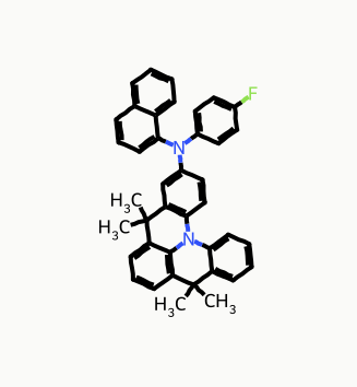 CC1(C)c2ccccc2N2c3ccc(N(c4ccc(F)cc4)c4cccc5ccccc45)cc3C(C)(C)c3cccc1c32